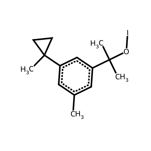 Cc1cc(C2(C)CC2)cc(C(C)(C)OI)c1